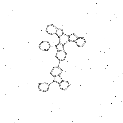 c1ccc(-n2c3ccccc3c3cc(-c4ccc5c(c4)n(-c4ccccc4)c4c5n5c6ccccc6cc5c5cc6ccccc6n54)ccc32)cc1